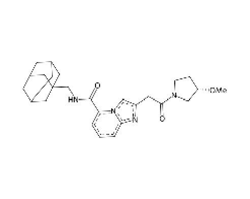 CO[C@H]1CCN(C(=O)Cc2cn3c(C(=O)NCC45CC6CC(CC(C6)C4)C5)cccc3n2)C1